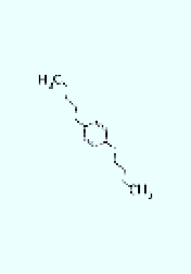 CCCCCC1C=CC(CCCCC)C=C1